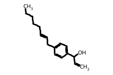 C=CC(O)c1ccc(CC=CCCCCC)cc1